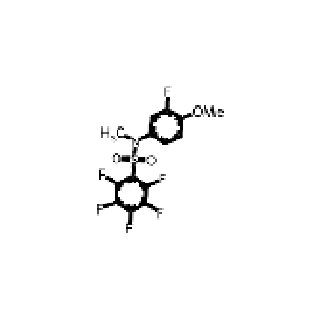 COc1ccc(N(C)S(=O)(=O)c2c(F)c(F)c(F)c(F)c2F)cc1F